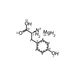 N[C@@H](Cc1ccc(O)cc1)C(=O)O.[MgH2]